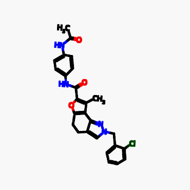 CC(=O)Nc1ccc(NC(=O)c2oc3c(c2C)-c2nn(Cc4ccccc4Cl)cc2CC3)cc1